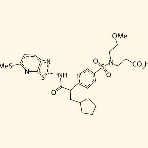 COCCN(CCC(=O)O)S(=O)(=O)c1ccc([C@@H](CC2CCCC2)C(=O)Nc2nc3ccc(SC)nc3s2)cc1